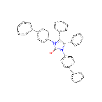 O=c1n(-c2ccc(-c3ccccc3)cc2)c(-c2ccccc2)c(-c2ccccc2)n1-c1ccc(-c2ccccc2)cc1